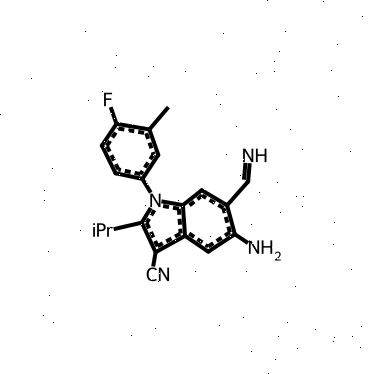 Cc1cc(-n2c(C(C)C)c(C#N)c3cc(N)c(C=N)cc32)ccc1F